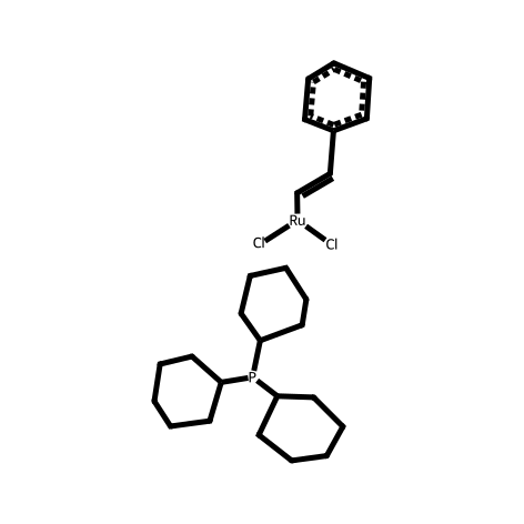 C1CCC(P(C2CCCCC2)C2CCCCC2)CC1.[Cl][Ru]([Cl])[CH]=Cc1ccccc1